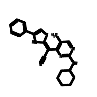 Cc1cnc(NC2CCCCC2)nc1C(C#N)=C1NC(c2ccccc2)=CS1